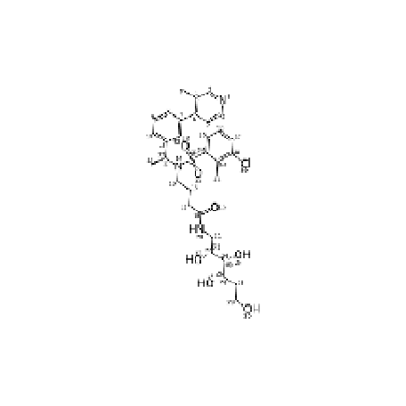 Cc1cnccc1-c1cccc([C@H](C)N(CCCC(=O)NC[C@@H](O)[C@H](O)[C@@H](O)CCO)S(=O)(=O)c2cccc(Cl)c2C)c1